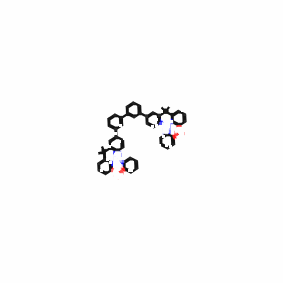 CC1(C)c2cc(-c3cccc(-c4cccc(-c5ccc6c(c5)C(C)(C)c5cccc7c5N6c5ccccc5O7)c4)c3)ccc2N2c3ccccc3Oc3cccc1c32